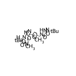 Cc1cc(-c2ncnc(N)c2OCCN(C)C(=O)OC(C)(C)C)ccc1CNC(=O)c1nnc(C(C)(C)C)o1